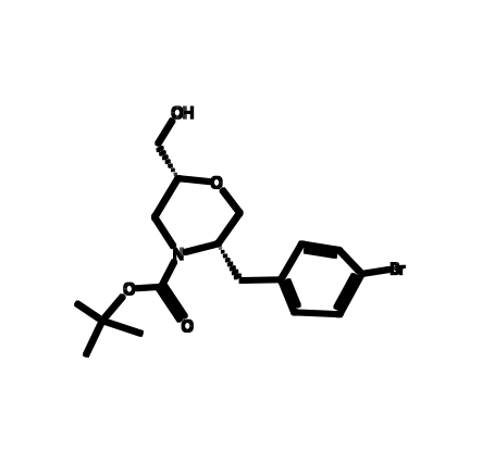 CC(C)(C)OC(=O)N1C[C@H](CO)OC[C@@H]1Cc1ccc(Br)cc1